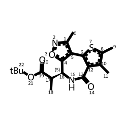 Cc1noc2c1-c1sc(C)c(C)c1C(=O)N[C@H]2C(C)C(=O)OC(C)(C)C